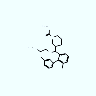 CC(=O)NCCOC(c1cccc(F)c1-c1cccc(C)c1)C1CCCN(C(=O)OC(C)(C)C)C1